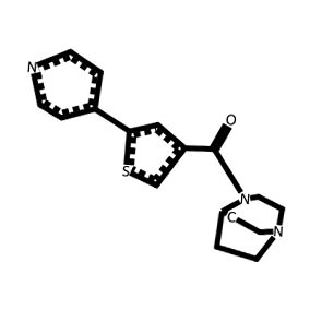 O=C(c1csc(-c2ccncc2)c1)N1CCN2CCC1CC2